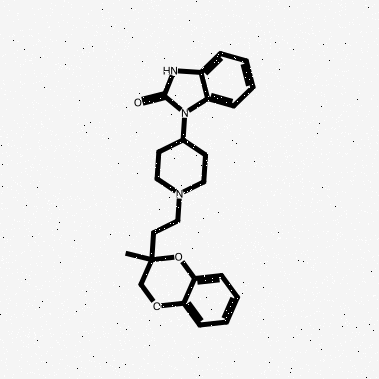 CC1(CCN2CCC(n3c(=O)[nH]c4ccccc43)CC2)COc2ccccc2O1